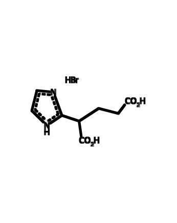 Br.O=C(O)CCC(C(=O)O)c1ncc[nH]1